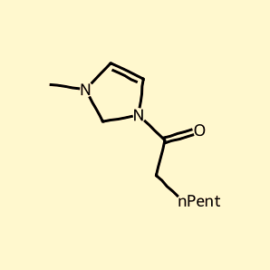 CCCCCCC(=O)N1C=CN(C)C1